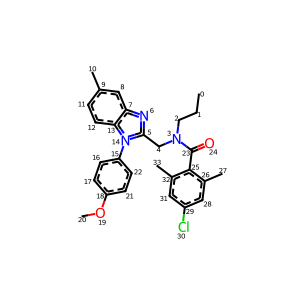 CCCN(Cc1nc2cc(C)ccc2n1-c1ccc(OC)cc1)C(=O)c1c(C)cc(Cl)cc1C